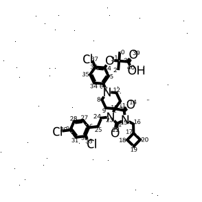 CC(C)(Oc1cc(N2CCC3(CC2)C(=O)N(CC2CCC2)C(=O)N3CCc2ccc(Cl)cc2Cl)ccc1Cl)C(=O)O